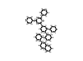 c1ccc(-c2cc(-c3nc(-c4ccncc4)nc(-c4ccncc4)n3)ccc2-c2ccccc2-c2ccccc2-c2ccc3ccccc3c2)cc1